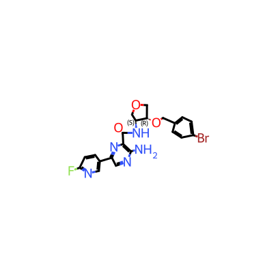 Nc1ncc(-c2ccc(F)nc2)nc1C(=O)N[C@H]1COC[C@@H]1OCc1ccc(Br)cc1